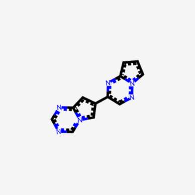 c1cc2nc(-c3cc4ncncn4c3)cnn2c1